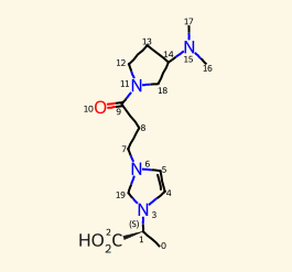 C[C@@H](C(=O)O)N1C=CN(CCC(=O)N2CCC(N(C)C)C2)C1